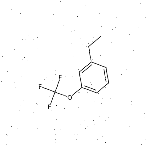 C[CH]c1cccc(OC(F)(F)F)c1